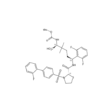 CC(C)(C)OC(=O)N[C@H](C(=O)O)C(C)(C)CC[C@H](NC(=O)[C@@H]1SCCN1S(=O)(=O)c1ccc(-c2ccccc2F)cc1)c1c(F)cccc1F